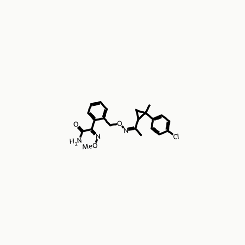 CON=C(C(N)=O)c1ccccc1CON=C(C)C1CC1(C)c1ccc(Cl)cc1